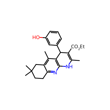 CCOC(=O)C1=C(C)Nc2nc3c(c(C)c2C1c1cccc(O)c1)CC(C)(C)CC3